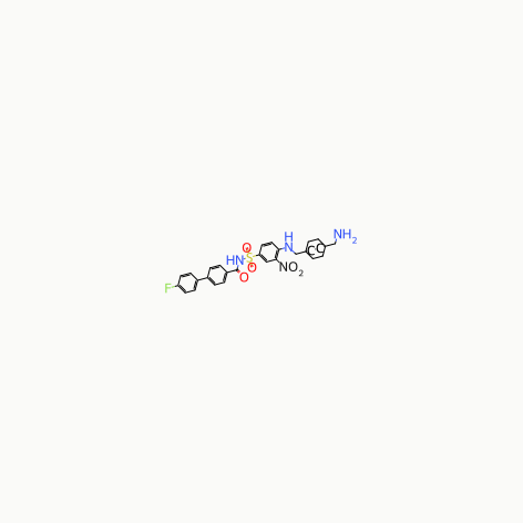 NCC12CCC(CNc3ccc(S(=O)(=O)NC(=O)c4ccc(-c5ccc(F)cc5)cc4)cc3[N+](=O)[O-])(CC1)CC2